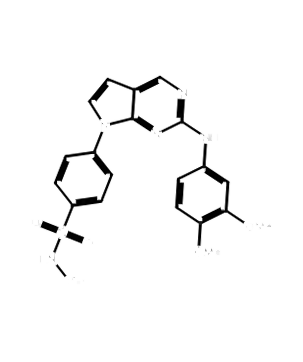 COc1ccc(Nc2ncc3ccn(-c4ccc(S(=O)(=O)NC(C)(C)C)cc4)c3n2)cc1OC